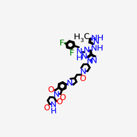 Cc1cc(Nc2nc(NCc3ccc(F)cc3F)nc3c2cnn3C2CCN(C(=O)CC3CCN(c4ccc5c(c4)C(=O)N(C4CCC(=O)NC4=O)C5=O)C3)CC2)n[nH]1